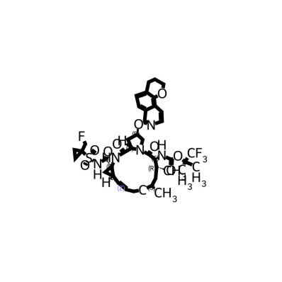 C[C@H]1CC/C=C\[C@@H]2C[C@@]2(C(=O)NS(=O)(=O)C2(CF)CC2)NC(=O)[C@@H]2C[C@@H](Oc3nccc4c5c(ccc34)CCCO5)CN2C(=O)[C@@H](NC(=O)OC(C)(C)C(F)(F)F)[C@H](C)C1